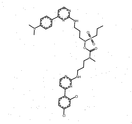 CCCS(=O)(=O)N(CCCNc1nccc(-c2ccc(N(C)C)cc2)n1)OC(=O)N(C)CCCNc1nccc(-c2ccc(Cl)cc2Cl)n1